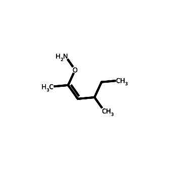 CCC(C)/C=C(/C)ON